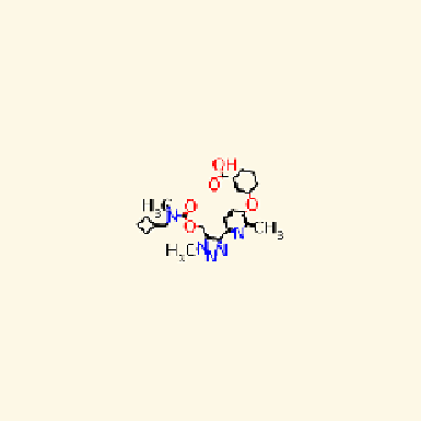 Cc1nc(-c2nnn(C)c2COC(=O)N(C)CC2CCC2)ccc1O[C@@H]1CCC[C@H](C(=O)O)C1